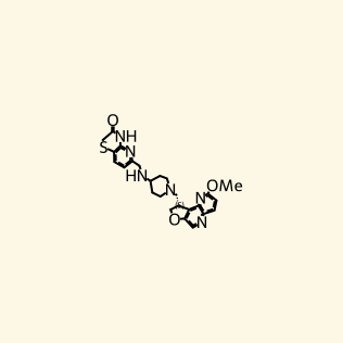 COc1ccc2ncc3c(c2n1)[C@@H](CN1CCC(NCc2ccc4c(n2)NC(=O)CS4)CC1)CO3